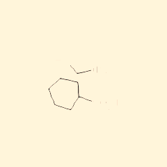 CC(C)(C)CO.O=C(O)C1CCCCC1